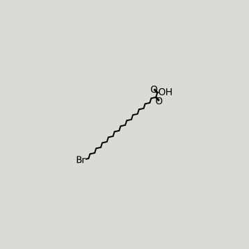 O=C(O)C(=O)CCCCCCCCCCCCCCCCCCCCCCBr